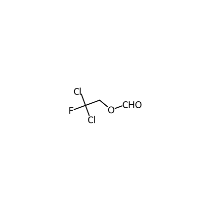 O=COCC(F)(Cl)Cl